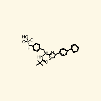 CC(C)(C)C(=O)N[C@@H](Cc1ccc(NS(=O)(=O)O)cc1)C1=NC(c2ccc(-c3ccccc3)cc2)CS1